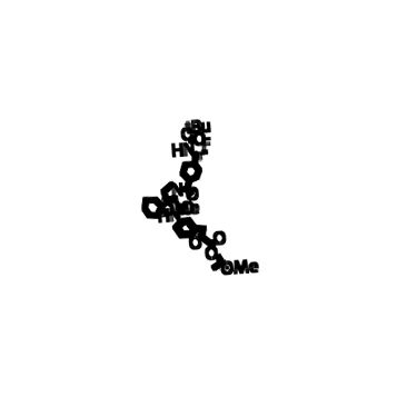 CO[C@H](C)COC(=O)c1cc2cc(NC(=O)[C@H]3[C@H](C4(OC)CCCCC4)CCN3C(=O)C3CCC([C@@H](CF)NC(=O)OC(C)(C)C)CC3)ccc2o1